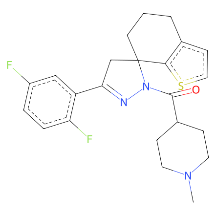 CN1CCC(C(=O)N2N=C(c3cc(F)ccc3F)CC23CCCc2ccsc23)CC1